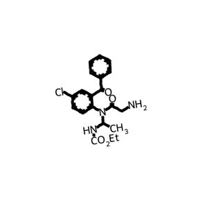 CCOC(=O)NC(C)N(C(=O)CN)c1ccc(Cl)cc1C(=O)c1ccccc1